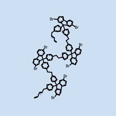 C=C/C=C/Cc1ccc(C2(c3ccc(CCc4ccc(C5(c6ccc(CCc7ccc(C8(c9ccc(CCc%10ccc(C%11(c%12ccc(C/C=C/C=C)cc%12)c%12cc(Br)ccc%12-c%12ccc(Br)cc%12%11)cc%10)cc9)c9cc(Br)ccc9-c9ccc(Br)cc98)cc7)cc6)c6cc(Br)ccc6-c6ccc(Br)cc65)cc4)cc3)c3cc(Br)ccc3-c3ccc(Br)cc32)cc1